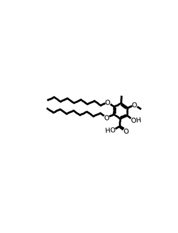 CCCCCCCCCOc1c(C)c(OC)c(O)c(C(=O)O)c1OCCCCCCCCC